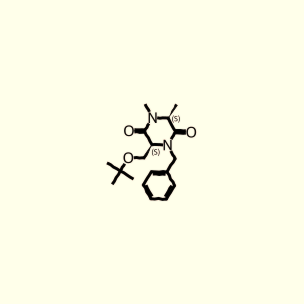 C[C@H]1C(=O)N(Cc2ccccc2)[C@@H](COC(C)(C)C)C(=O)N1C